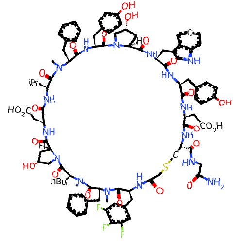 CCCC[C@H]1C(=O)N2C[C@H](O)C[C@@H]2C(=O)N[C@@H](CC(=O)O)C(=O)N[C@@H](C(C)C)C(=O)N(C)[C@@H](Cc2ccccc2)C(=O)N[C@@H](Cc2ccc(O)cc2)C(=O)N2C[C@H](O)C[C@H]2C(=O)N[C@@H](Cc2c[nH]c3ccccc23)C(=O)N[C@@H](Cc2ccc(O)cc2)C(=O)N[C@@H](CC(=O)O)C(=O)N[C@H](C(=O)NCC(N)=O)CSCC(=O)N[C@@H](Cc2cc(F)c(F)c(F)c2)C(=O)N(C)[C@@H](Cc2ccccc2)C(=O)N1C